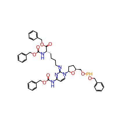 O=C(Nc1ccn([C@H]2CC[C@@H](COPOCc3ccccc3)O2)/c(=N/CCCC[C@H](NC(=O)OCc2ccccc2)C(=O)OCc2ccccc2)n1)OCc1ccccc1